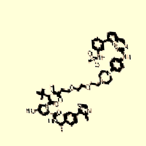 Cc1ncsc1-c1ccc([C@H](C)NC(=O)[C@@H]2C[C@@H](O)CN2C(=O)[C@@H](NC(=O)CCOCCOCCN2CCN(c3ccc(Nc4ncc5ccc(-c6cccc(NS(C)(=O)=O)c6)n5n4)cc3)CC2)C(C)(C)C)cc1